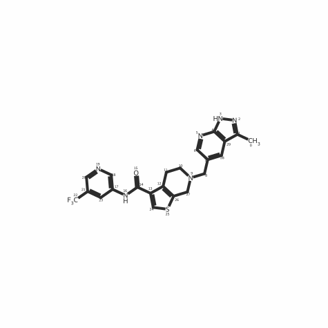 Cc1n[nH]c2ncc(CN3CCc4c(C(=O)Nc5cncc(C(F)(F)F)c5)csc4C3)cc12